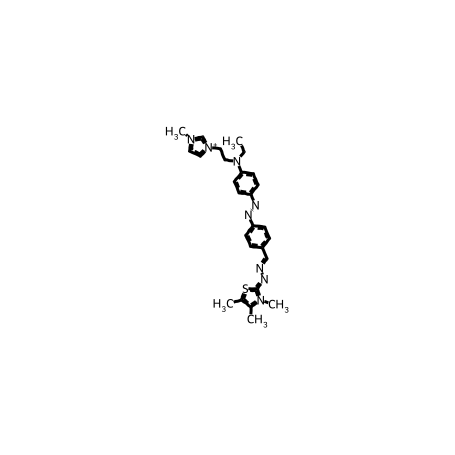 CCN(CC[n+]1ccn(C)c1)c1ccc(/N=N/c2ccc(/C=N/N=c3\sc(C)c(C)n3C)cc2)cc1